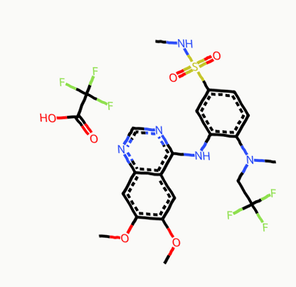 CNS(=O)(=O)c1ccc(N(C)CC(F)(F)F)c(Nc2ncnc3cc(OC)c(OC)cc23)c1.O=C(O)C(F)(F)F